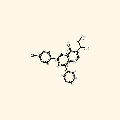 CCC(CO)n1cnc2c(-c3cccnc3)nc(-c3ccc(Cl)cc3)cc2c1=O